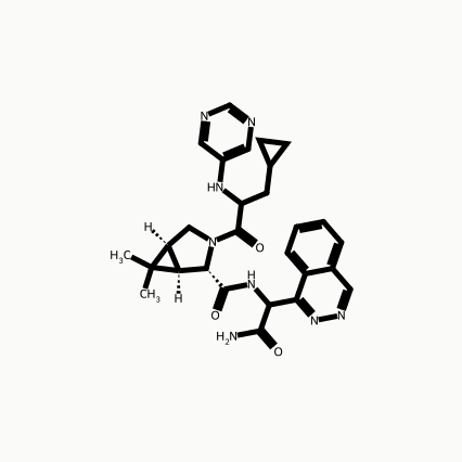 CC1(C)[C@@H]2[C@@H](C(=O)NC(C(N)=O)c3nncc4ccccc34)N(C(=O)C(CC3CC3)Nc3cncnc3)C[C@@H]21